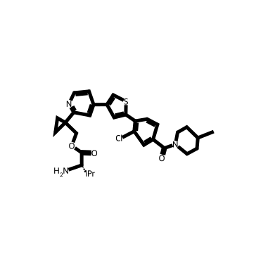 CC1CCN(C(=O)c2ccc(-c3cc(-c4ccnc(C5(COC(=O)[C@@H](N)C(C)C)CC5)c4)cs3)c(Cl)c2)CC1